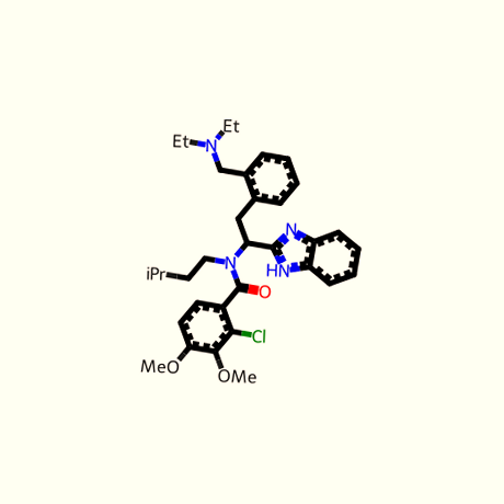 CCN(CC)Cc1ccccc1CC(c1nc2ccccc2[nH]1)N(CCC(C)C)C(=O)c1ccc(OC)c(OC)c1Cl